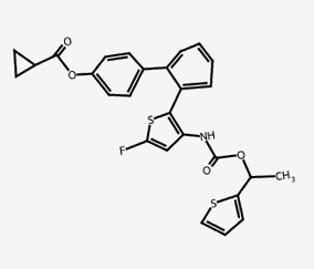 CC(OC(=O)Nc1cc(F)sc1-c1ccccc1-c1ccc(OC(=O)C2CC2)cc1)c1cccs1